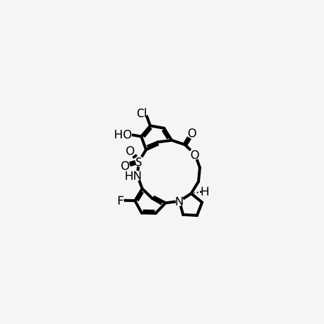 O=C1OCC[C@H]2CCCN2c2ccc(F)c(c2)NS(=O)(=O)c2cc1cc(Cl)c2O